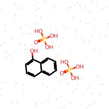 O=P(O)(O)O.O=P(O)(O)O.Oc1cccc2ccccc12